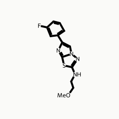 COCCNc1nn2cc(-c3cccc(F)c3)nc2s1